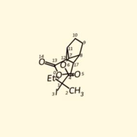 CCC(C)(I)C(=O)OC1C2CCC1C1C(=O)OCC21